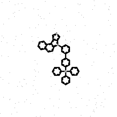 c1ccc([Si](c2ccccc2)(c2ccccc2)c2ccc(-c3cccc(-n4c5cscc5c5c6ccccc6ccc54)c3)cc2)cc1